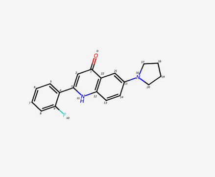 O=c1cc(-c2ccccc2F)[nH]c2ccc(N3CCCC3)cc12